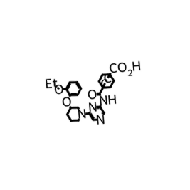 CCOc1ccccc1OC1CCCN(c2cncc(NC(=O)C34CCC(C(=O)O)(CC3)CC4)n2)C1